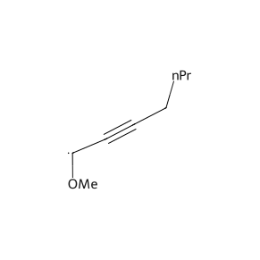 CCCCC#C[CH]OC